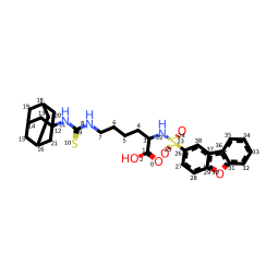 O=C(O)C(CCCCNC(=S)NC12CC3CC(CC(C3)C1)C2)NS(=O)(=O)c1ccc2oc3ccccc3c2c1